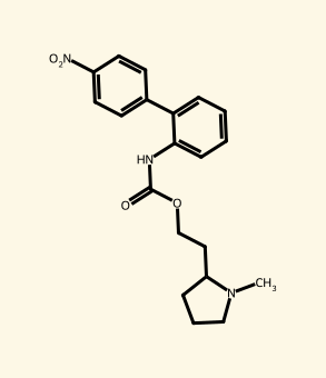 CN1CCCC1CCOC(=O)Nc1ccccc1-c1ccc([N+](=O)[O-])cc1